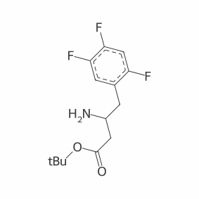 CC(C)(C)OC(=O)CC(N)Cc1cc(F)c(F)cc1F